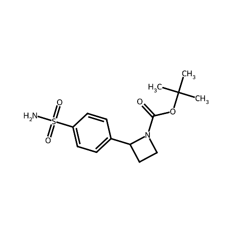 CC(C)(C)OC(=O)N1CCC1c1ccc(S(N)(=O)=O)cc1